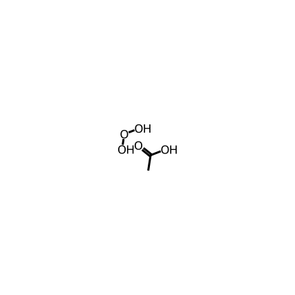 CC(=O)O.OOO